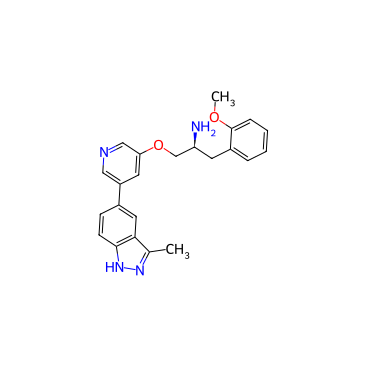 COc1ccccc1C[C@H](N)COc1cncc(-c2ccc3[nH]nc(C)c3c2)c1